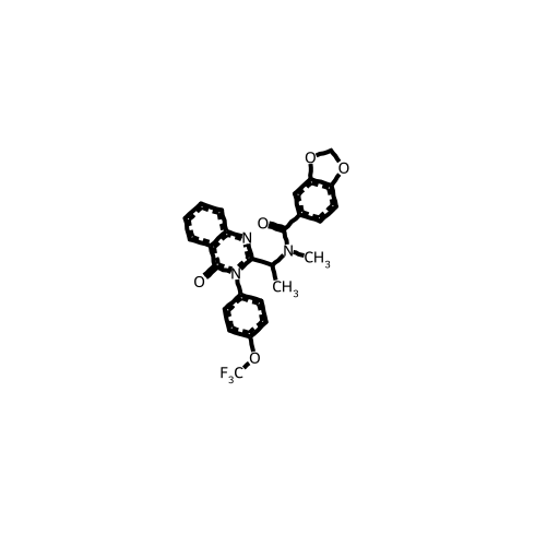 CC(c1nc2ccccc2c(=O)n1-c1ccc(OC(F)(F)F)cc1)N(C)C(=O)c1ccc2c(c1)OCO2